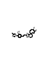 COc1cc(/C=C/c2nc3n(n2)CCCC32/C=C/C(F)=C(F)\C=C/C2)ccc1-n1cnc(C)c1